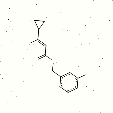 N/C(=C\C(=O)OCc1cccc(Br)c1)C1CC1